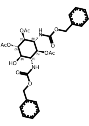 CC(=O)O[C@H]1[C@H](NC(=O)OCc2ccccc2)[C@@H](O)[C@H](OC(C)=O)[C@@H](OC(C)=O)[C@@H]1NC(=O)OCc1ccccc1